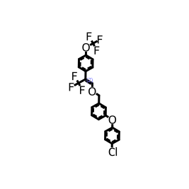 FC(F)(F)Oc1ccc(/C(=C/OCc2cccc(Oc3ccc(Cl)cc3)c2)C(F)(F)F)cc1